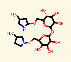 CC1CNC(OCC2OC(OC3OC(CON4CCC(C)C4)C(O)C(O)C3O)C(O)C(O)[C@H]2O)C1